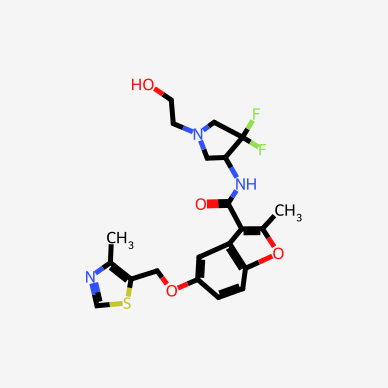 Cc1ncsc1COc1ccc2oc(C)c(C(=O)NC3CN(CCO)CC3(F)F)c2c1